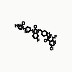 O=C(NC1CCC(Cn2c(=O)n(-c3ccc(-n4cc[nH]c4=O)nc3)c3ccc(F)cc32)CC1)c1cc(Cl)cnc1C(F)F